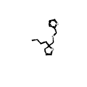 CCCCC1(COCc2ccco2)CC=CO1